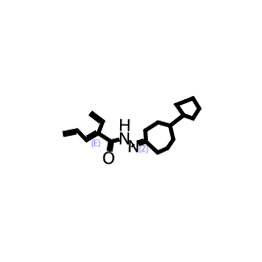 C=C/C=C(\C=C)C(=O)N/N=C1/CCCC(C2CCCC2)CC1